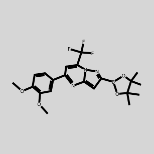 COc1ccc(-c2cc(C(F)(F)F)n3nc(B4OC(C)(C)C(C)(C)O4)cc3n2)cc1OC